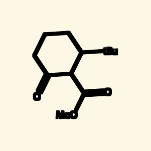 COC(=O)C1C(=O)CCCC1C(C)(C)C